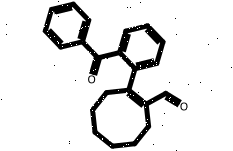 O=CC1=C(c2ccccc2C(=O)c2ccccc2)CCCCCC1